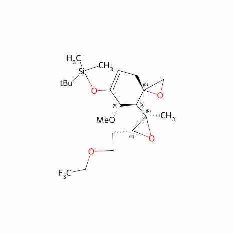 CO[C@@H]1C(O[Si](C)(C)C(C)(C)C)=CC[C@]2(CO2)[C@H]1[C@@]1(C)O[C@@H]1CCOCC(F)(F)F